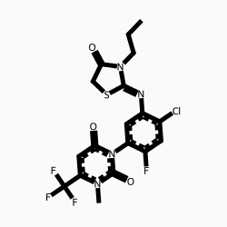 CCCN1C(=O)CS/C1=N\c1cc(-n2c(=O)cc(C(F)(F)F)n(C)c2=O)c(F)cc1Cl